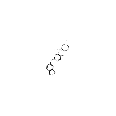 CC(=O)N1CCC[C@@H](Nc2nc(Nc3ccc4c(c3)CNC4)ncc2F)C1